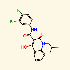 CC(C)Cn1c(=O)c(C(=O)Nc2ccc(F)c(Br)c2)c(O)c2ccccc21